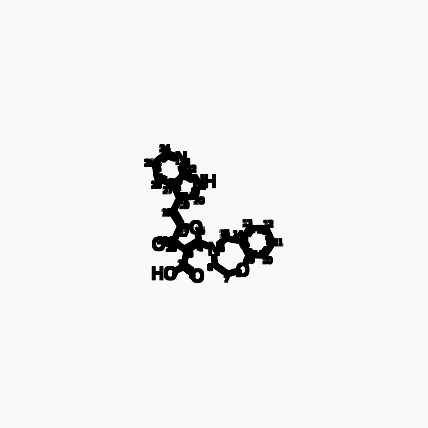 O=C(O)C1=C(N2CCOc3ccccc3C2)O/C(=C\c2c[nH]c3ncccc23)C1=O